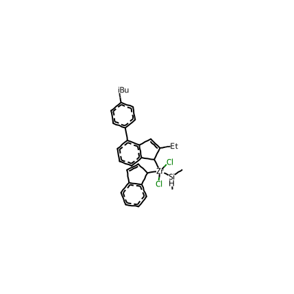 CCC1=Cc2c(-c3ccc(C(C)CC)cc3)cccc2[CH]1[Zr]([Cl])([Cl])([CH]1C=Cc2ccccc21)[SiH](C)C